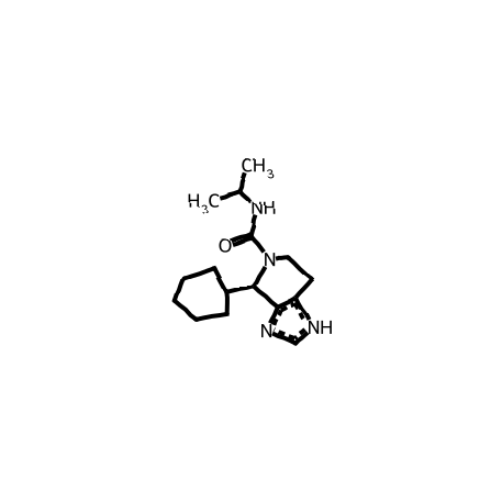 CC(C)NC(=O)N1CCc2[nH]cnc2C1C1CCCCC1